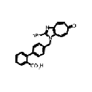 CCCc1nc2ccc(=O)ccc2n1Cc1ccc(-c2ccccc2C(=O)O)cc1